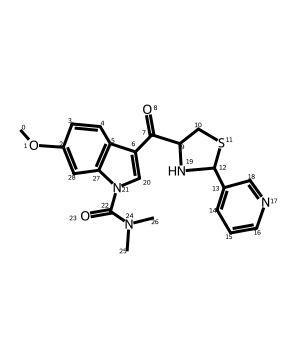 COc1ccc2c(C(=O)C3CSC(c4cccnc4)N3)cn(C(=O)N(C)C)c2c1